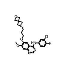 COc1cc2ncnc(Nc3ccc(F)c(Cl)c3)c2cc1OCCCN1CC2(COC2)C1